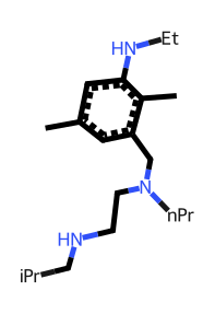 CCCN(CCNCC(C)C)Cc1cc(C)cc(NCC)c1C